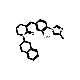 COc1cc(C=C2CCCN(C3CCc4ccccc4C3)C2=O)ccc1-n1cnc(C)c1